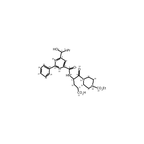 CCCC(O)c1cc(C(=O)NC(CCC(=O)O)C(=O)N2CCN(C(=O)OCC)CC2)nc(-c2ccccc2)n1